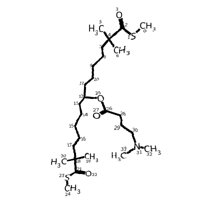 CSC(=O)C(C)(C)CCCCCC(CCCCCC(C)(C)C(=O)SC)OC(=O)CCCN(C)C